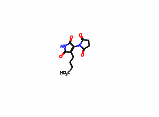 O=C(O)CCCC1=C(N2C(=O)CCC2=O)C(=O)NC1=O